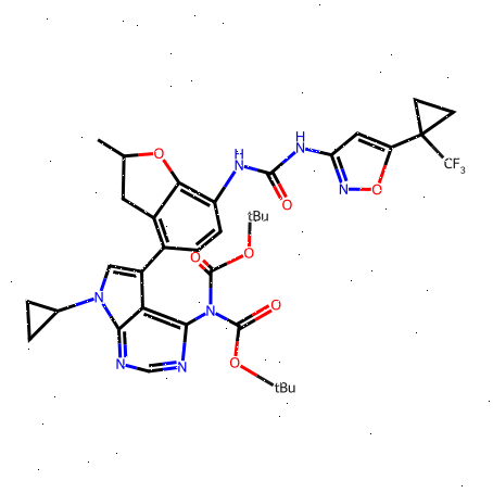 CC1Cc2c(-c3cn(C4CC4)c4ncnc(N(C(=O)OC(C)(C)C)C(=O)OC(C)(C)C)c34)ccc(NC(=O)Nc3cc(C4(C(F)(F)F)CC4)on3)c2O1